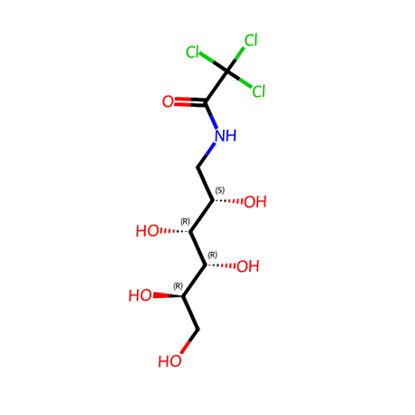 O=C(NC[C@H](O)[C@@H](O)[C@H](O)[C@H](O)CO)C(Cl)(Cl)Cl